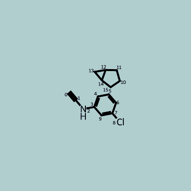 C#CNc1cccc(Cl)c1.C1CC2CC2C1